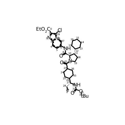 CCOC(=O)c1nc2ccc(NC(=O)[C@H]3[C@H](C4CCCCC4)CCN3C(=O)C3CCC([C@@H](CF)NC(=O)OC(C)(C)C)CC3)cn2c1Cl